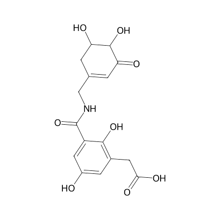 O=C(O)Cc1cc(O)cc(C(=O)NCC2=CC(=O)C(O)C(O)C2)c1O